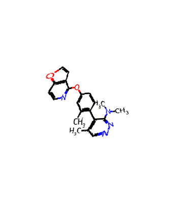 Cc1cc(Oc2nccc3occc23)ccc1-c1c(C)cnnc1N(C)C